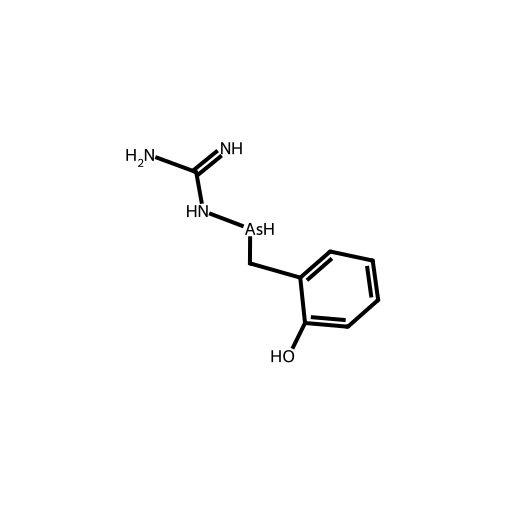 N=C(N)N[AsH]Cc1ccccc1O